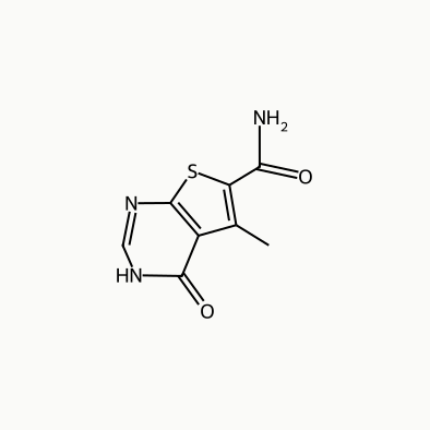 Cc1c(C(N)=O)sc2nc[nH]c(=O)c12